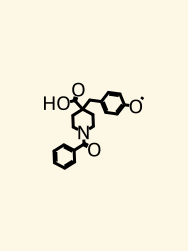 COc1ccc(CC2(C(=O)O)CCN(C(=O)c3ccccc3)CC2)cc1